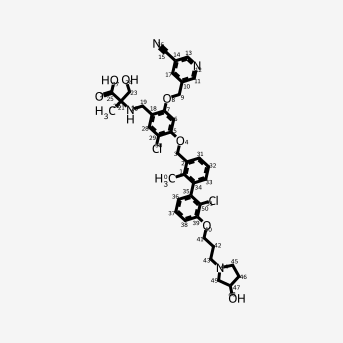 Cc1c(COc2cc(OCc3cncc(C#N)c3)c(CNC(C)(CO)C(=O)O)cc2Cl)cccc1-c1cccc(OCCCN2CCC(O)C2)c1Cl